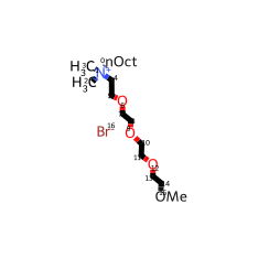 CCCCCCCC[N+](C)(C)CCOCCOCCOCCOC.[Br-]